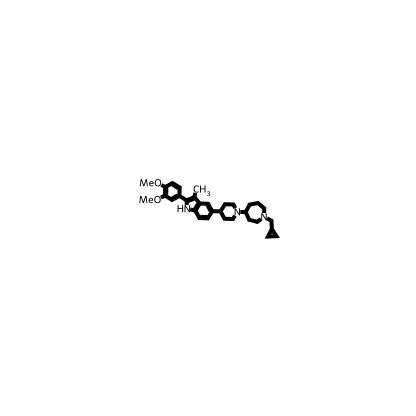 COc1ccc(-c2[nH]c3ccc(C4CCN(C5CCCN(CC6CC6)CC5)CC4)cc3c2C)cc1OC